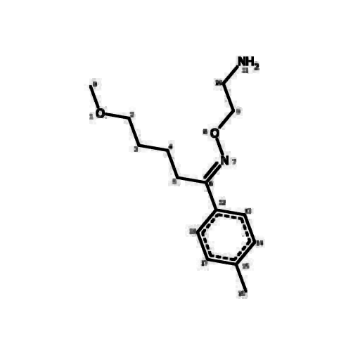 COCCCC/C(=N\OCCN)c1ccc(C)cc1